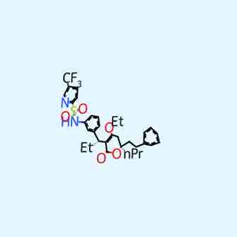 CCC[C@@]1(CCc2ccccc2)CC(OCC)=C([C@H](CC)c2cccc(NS(=O)(=O)c3ccc(C(F)(F)F)cn3)c2)C(=O)O1